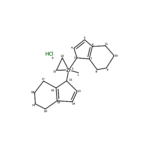 Cl.[CH3][Zr]1([CH]2C=CC3=C2CCCC3)([CH]2C=CC3=C2CCCC3)[CH2][CH2]1